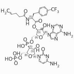 C=CCCC(=O)N[C@@H](Cc1ccc(C(F)(F)F)cc1)C(=O)O[C@H]1[C@@H](O)[C@H](n2cnc3c(N)ncnc32)O[C@@H]1COP(=O)(O)[C@H]1[C@@H](O)[C@H](n2ccc(N)nc2=O)O[C@@H]1COP(=O)(O)O